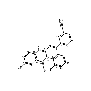 N#Cc1cccc(C=Cc2nc3ccc(F)cc3c(=O)n2-c2ccccc2Cl)n1